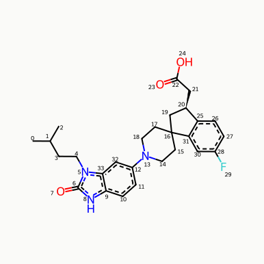 CC(C)CCn1c(=O)[nH]c2ccc(N3CCC4(CC3)C[C@@H](CC(=O)O)c3ccc(F)cc34)cc21